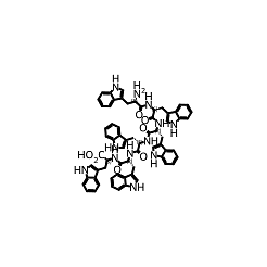 N[C@@H](Cc1c[nH]c2ccccc12)C(=O)N[C@@H](Cc1c[nH]c2ccccc12)C(=O)N[C@H](Cc1c[nH]c2ccccc12)C(=O)N[C@@H](Cc1c[nH]c2ccccc12)C(=O)N[C@H](Cc1c[nH]c2ccccc12)C(=O)N[C@@H](Cc1c[nH]c2ccccc12)C(=O)O